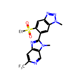 CCS(=O)(=O)c1cc2nnn(C)c2cc1-c1nc2cc(C(F)(F)F)ncc2n1C